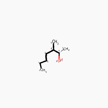 CCCCC(C)[C@H](C)O